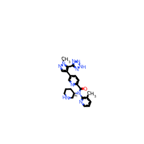 Cc1cccnc1N(C(=O)c1ccc(-c2cnn(C)c2-c2nn[nH]n2)cn1)[C@@H]1CCCNC1